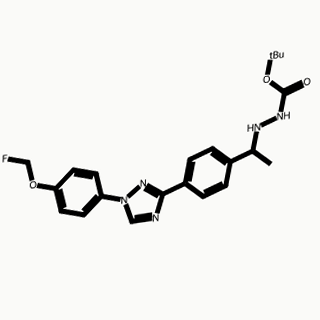 CC(NNC(=O)OC(C)(C)C)c1ccc(-c2ncn(-c3ccc(OCF)cc3)n2)cc1